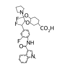 Cn1cc(C(=O)Nc2ccc(C(F)C(=O)C(F)(OC3CCC(C(=O)O)CC3)N3CCCC3)cc2F)c2ccccc21